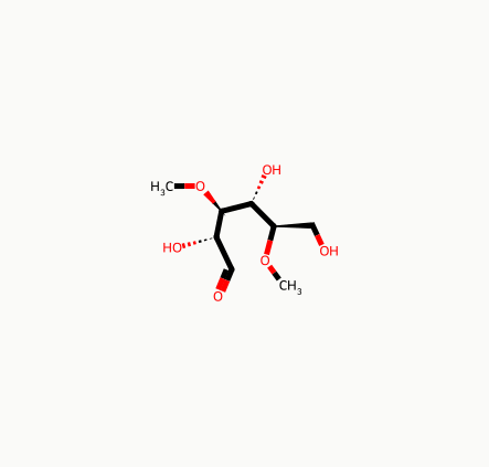 CO[C@@H]([C@H](O)[C@@H](CO)OC)[C@@H](O)C=O